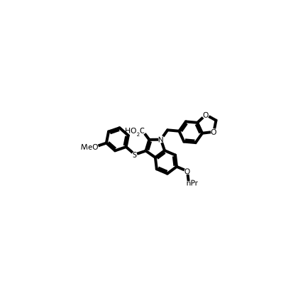 CCCOc1ccc2c(Sc3cccc(OC)c3)c(C(=O)O)n(Cc3ccc4c(c3)OCO4)c2c1